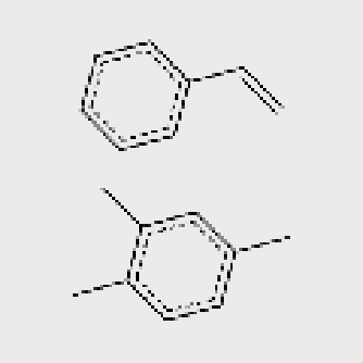 C=Cc1ccccc1.Cc1ccc(C)c(C)c1